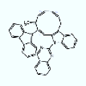 C=C1/C=C\C=C/Cc2c(n(-c3ncc4ccccc4n3)c3ccccc23)/C=C\1n1c2ccccc2c2ccccc21